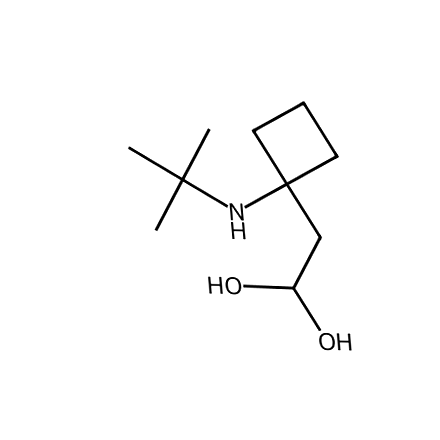 CC(C)(C)NC1(CC(O)O)CCC1